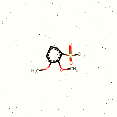 COc1cccc(S(C)(=O)=O)c1OC